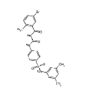 Cc1cc(C)cc(NS(=O)(=O)c2ccc(NC(=S)NC(=O)c3cc(Br)ccc3C)cc2)c1